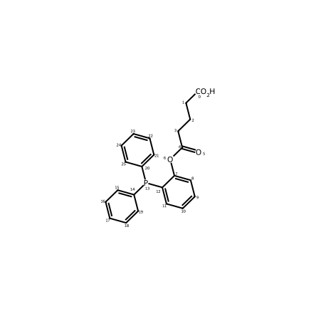 O=C(O)CCCC(=O)Oc1ccccc1P(c1ccccc1)c1ccccc1